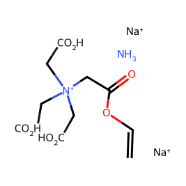 C=COC(=O)C[N+](CC(=O)O)(CC(=O)O)CC(=O)O.N.[Na+].[Na+]